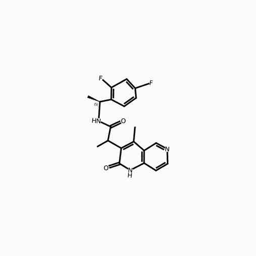 Cc1c(C(C)C(=O)N[C@@H](C)c2ccc(F)cc2F)c(=O)[nH]c2ccncc12